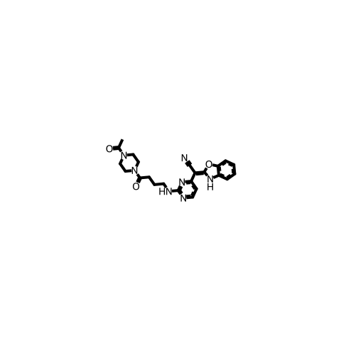 CC(=O)N1CCN(C(=O)CCCNc2nccc(/C(C#N)=C3\Nc4ccccc4O3)n2)CC1